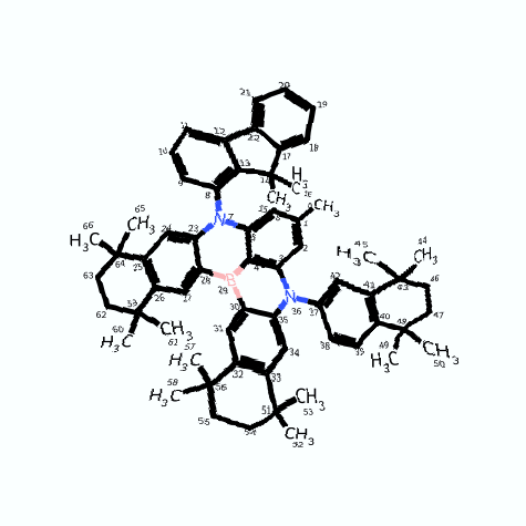 Cc1cc2c3c(c1)N(c1cccc4c1C(C)(C)c1ccccc1-4)c1cc4c(cc1B3c1cc3c(cc1N2c1ccc2c(c1)C(C)(C)CCC2(C)C)C(C)(C)CCC3(C)C)C(C)(C)CCC4(C)C